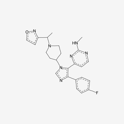 CNc1nccc(-c2c(-c3ccc(F)cc3)ncn2C2CCN(C(C)c3ccon3)CC2)n1